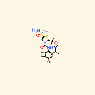 C[C@@H](c1cc(Br)c2c(c1NC(=O)N1C=C(S(=N)(N)=O)SC1C(C)(C)O)CC2)C1CC1